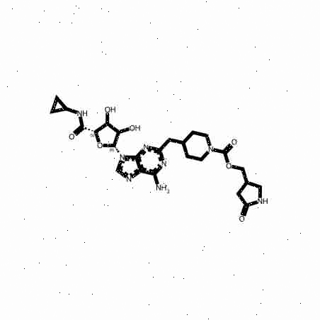 Nc1nc(CC2CCN(C(=O)OCC3CNC(=O)C3)CC2)nc2c1ncn2[C@@H]1O[C@H](C(=O)NC2CC2)C(O)C1O